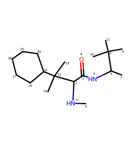 CNC(C(=O)NC(C)C(C)(C)C)C(C)(C)C1CCCCC1